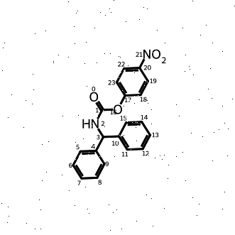 O=C(NC(c1ccccc1)c1ccccc1)Oc1ccc([N+](=O)[O-])cc1